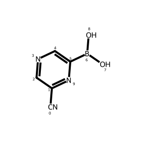 N#Cc1cncc(B(O)O)n1